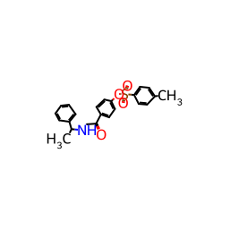 Cc1ccc(S(=O)(=O)Oc2ccc(C(=O)CNC(C)c3ccccc3)cc2)cc1